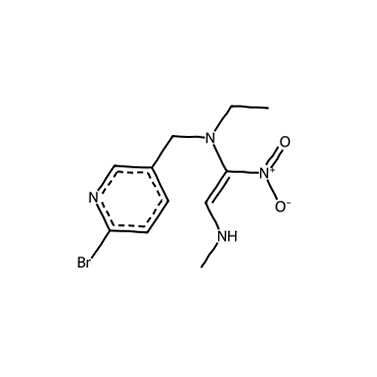 CCN(Cc1ccc(Br)nc1)C(=CNC)[N+](=O)[O-]